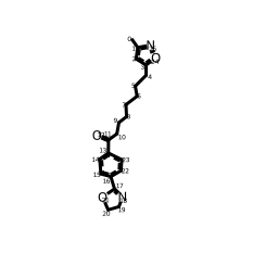 Cc1cc(CCCCCCCC(=O)c2ccc(C3=NCCO3)cc2)on1